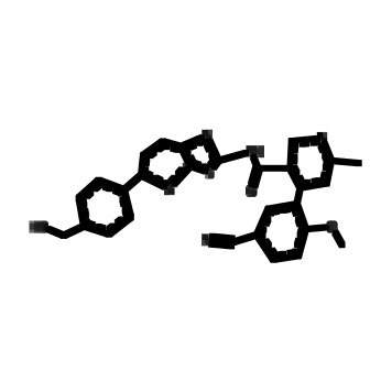 COc1ccc(C#N)cc1-c1cc(C)ncc1C(=O)Nc1nc2ccc(-c3ccc(CO)cc3)nc2s1